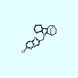 Clc1ccc2nc(Cn3c4c(c5ccccc53)CN3CCC4CC3)cn2n1